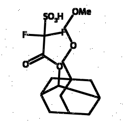 COCOCC12CC3CC(C1)C(OC(=O)C(F)(F)S(=O)(=O)O)C(C3)C2